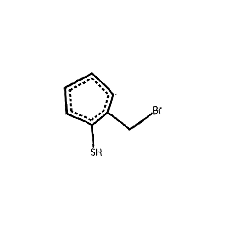 Sc1ccc[c]c1CBr